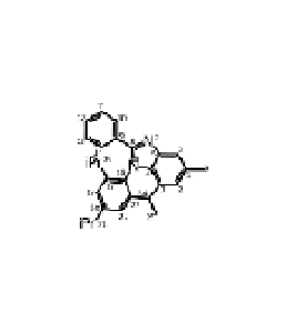 Cc1cc2c3c(c1)nc(-c1ccccc1)n3-c1c(C(C)C)cc(C(C)C)cc1C2C